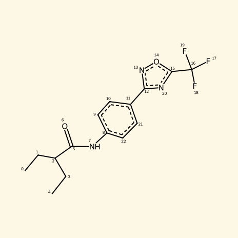 CCC(CC)C(=O)Nc1ccc(-c2noc(C(F)(F)F)n2)cc1